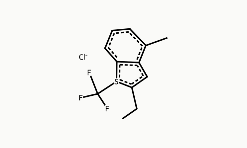 CCc1cc2c(C)cccc2[s+]1C(F)(F)F.[Cl-]